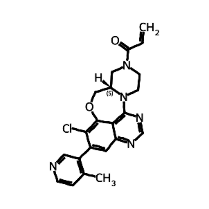 C=CC(=O)N1CCN2c3ncnc4cc(-c5cnccc5C)c(Cl)c(c34)OC[C@@H]2C1